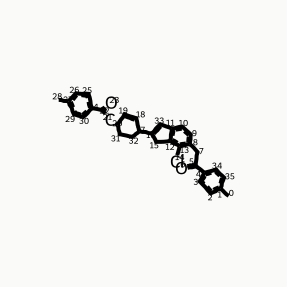 Cc1ccc(C(=O)Cc2ccc3c(c2Cl)CC(C2C=CC(CC(=O)c4ccc(C)cc4)CC2)=C3)cc1